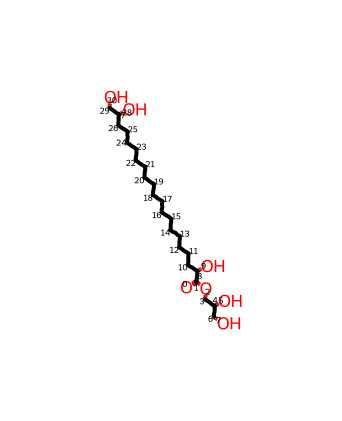 O=C(OCC(O)CO)C(O)CCCCCCCCCCCCCCCCCC(O)CO